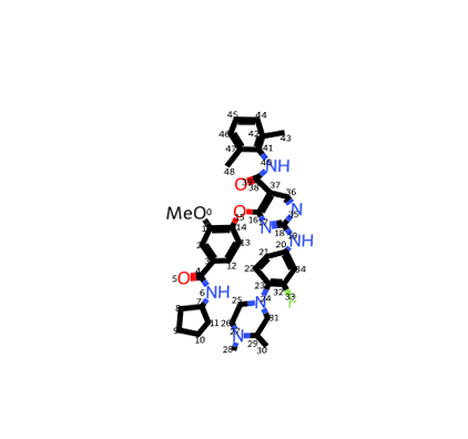 COc1cc(C(=O)NC2CCCC2)ccc1Oc1nc(Nc2ccc(N3CCN(C)C(C)C3)c(F)c2)ncc1C(=O)Nc1c(C)cccc1C